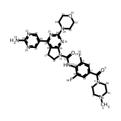 CN1CCN(C(=O)c2cc(F)c(NC(=O)N3CCc4c(-c5cnc(N)nc5)nc(N5CCOCC5)nc43)c(F)c2)CC1